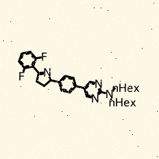 CCCCCCN(CCCCCC)c1ncc(-c2ccc(C3CCC(c4c(F)cccc4F)=N3)cc2)cn1